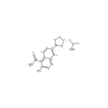 CC(O)C[C@H]1CCN(c2ccc3c(C(=O)O)c(Cl)ccc3n2)C1